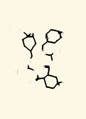 CC(OCC1CCC2(C)OC2C1)OC(=O)C1CCC(C)(O)CC1C(=O)OC(C)OCC1CCC2(C)OC2C1